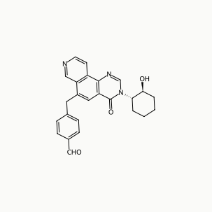 O=Cc1ccc(Cc2cc3c(=O)n([C@H]4CCCC[C@@H]4O)cnc3c3ccncc23)cc1